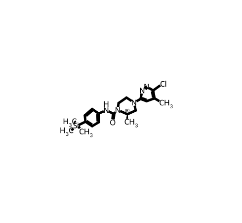 Cc1cc(N2CCN(C(=O)Nc3ccc([Si](C)(C)C)cc3)[C@H](C)C2)nnc1Cl